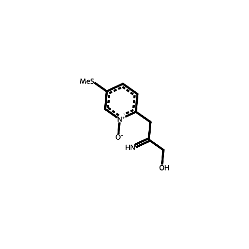 CSc1ccc(CC(=N)CO)[n+]([O-])c1